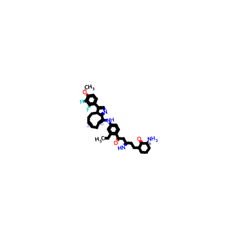 CCc1cc(N/C2=C\C/C=C\CCC3C(c4ccc(OC)c(F)c4F)=CN=C23)ccc1C(=O)CC(=N)CCC1CCC[C@H](N)C1=O